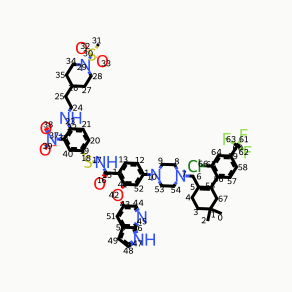 CC1(C)CCC(CN2CCN(c3ccc(C(=O)NSc4ccc(NCCC5CCN(S(C)(=O)=O)CC5)c([N+](=O)[O-])c4)c(Oc4cnc5[nH]ccc5c4)c3)CC2)=C(c2ccc(C(F)(F)F)cc2Cl)C1